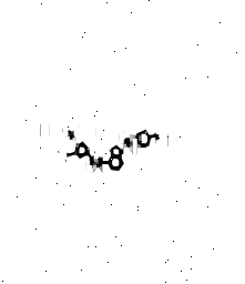 CCC1CCN(C(=O)N[C@@H]2CCc3c(-c4noc(-c5ccc(OC(C)C)c(C#N)c5)n4)cccc32)CC1